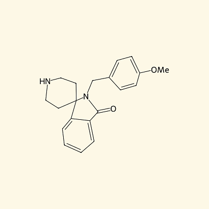 COc1ccc(CN2C(=O)c3ccccc3C23CCNCC3)cc1